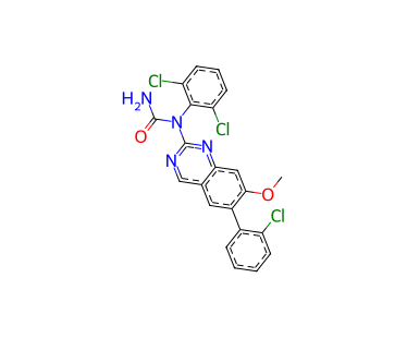 COc1cc2nc(N(C(N)=O)c3c(Cl)cccc3Cl)ncc2cc1-c1ccccc1Cl